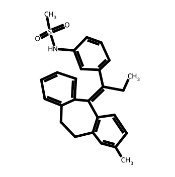 CCC(=C1c2ccccc2CCc2cc(C)ccc21)c1cccc(NS(C)(=O)=O)c1